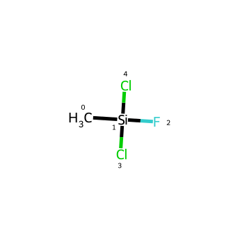 C[Si](F)(Cl)Cl